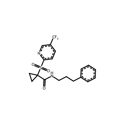 O=C(NCCCc1ccccc1)C1(S(=O)(=O)c2ccc(C(F)(F)F)cn2)CC1